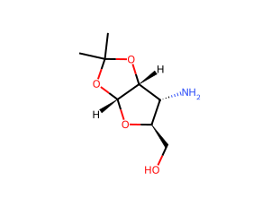 CC1(C)O[C@H]2O[C@H](CO)[C@@H](N)[C@H]2O1